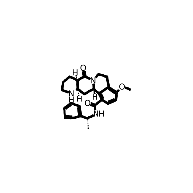 COc1ccc(C(=O)N[C@H](C)c2ccccc2)c2c1CCN1C(=O)[C@@H]3CCCN[C@@H]3C[C@@H]21